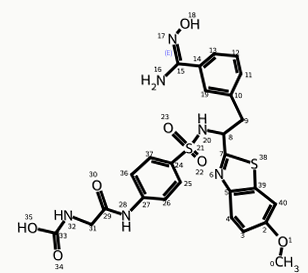 COc1ccc2nc(C(Cc3cccc(/C(N)=N\O)c3)NS(=O)(=O)c3ccc(NC(=O)CNC(=O)O)cc3)sc2c1